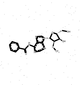 O=C(Nc1ncnc2c1ncn2[C@@H]1O[C@H](CO)[C@@H](O)[C@H]1OC(F)(F)F)c1ccccc1